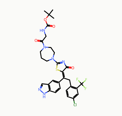 CC(C)(C)OC(=O)NCC(=O)N1CCCN(C2=NC(=O)C(=C(Cc3ccc(Cl)cc3C(F)(F)F)c3ccc4[nH]ncc4c3)S2)CC1